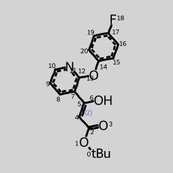 CC(C)(C)OC(=O)/C=C(\O)c1cccnc1Oc1ccc(F)cc1